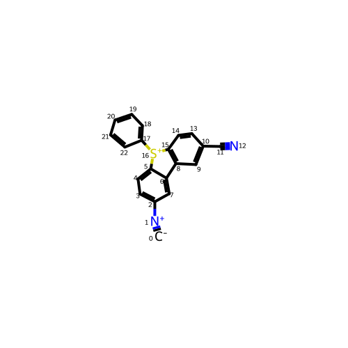 [C-]#[N+]c1ccc2c(c1)c1cc(C#N)ccc1[s+]2-c1ccccc1